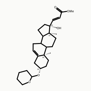 COC(=O)C=C[C@]1(O)CCC2C3CC=C4C[C@@H](OC5CCCCO5)CC[C@]4(C)C3CC[C@@]21C